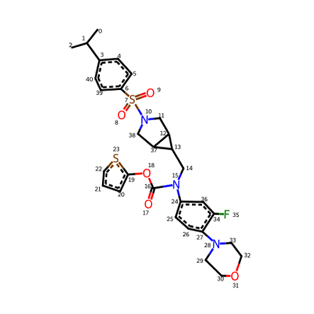 CC(C)c1ccc(S(=O)(=O)N2CC3C(CN(C(=O)Oc4cccs4)c4ccc(N5CCOCC5)c(F)c4)C3C2)cc1